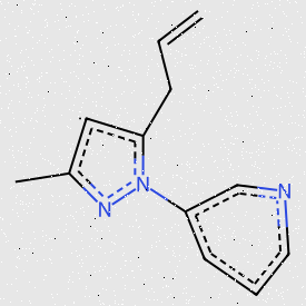 C=CCc1[c]c(C)nn1-c1cccnc1